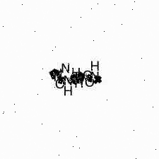 CC(C)(C)NC(=O)O[C@H]1C[C@H]2C[C@@H](NCC(=O)N3CCC[C@H]3C#N)C[C@H]2C1